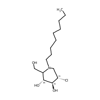 CCCCCCCCCN1C[C@H](Cl)[C@@H](O)[C@H](O)C1CO